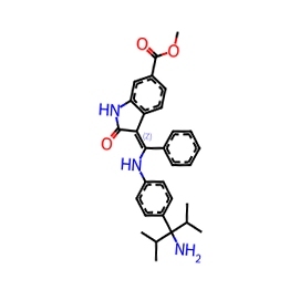 COC(=O)c1ccc2c(c1)NC(=O)/C2=C(\Nc1ccc(C(N)(C(C)C)C(C)C)cc1)c1ccccc1